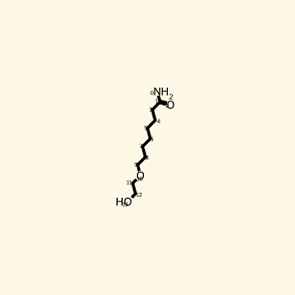 NC(=O)CCCCCCCOCCO